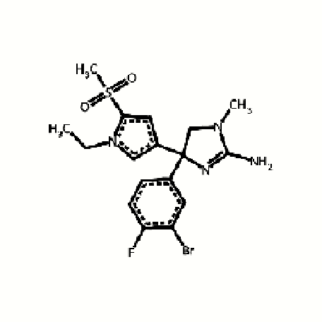 CCn1cc(C2(c3ccc(F)c(Br)c3)CN(C)C(N)=N2)cc1S(C)(=O)=O